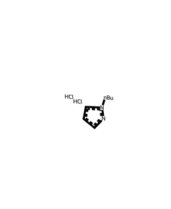 CCCCn1cccn1.Cl.Cl